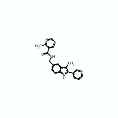 Cc1ncncc1C(=O)NCc1ccc2[nH]c(-c3cccnc3)c(C)c2c1